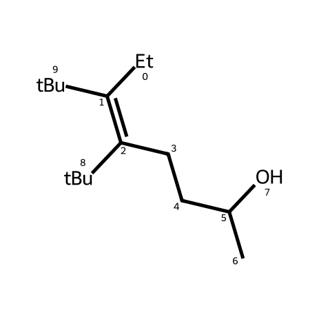 CC/C(=C(\CCC(C)O)C(C)(C)C)C(C)(C)C